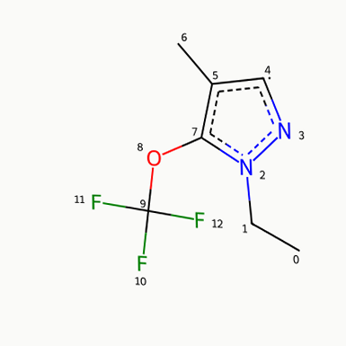 CCn1n[c]c(C)c1OC(F)(F)F